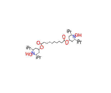 CC(C)C1CC(OC(=O)CCCCCCCCC(=O)OC2CC(C(C)C)N(O)C(C(C)C)C2)CC(C(C)C)N1O